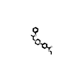 CCOC(=O)c1ccc(N2CCN(CC(C)Oc3ccccc3)CC2)cc1